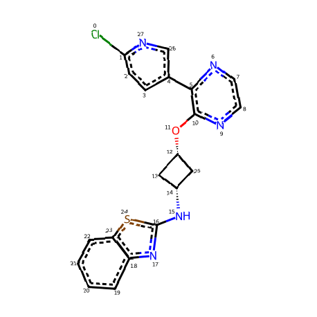 Clc1ccc(-c2nccnc2O[C@H]2C[C@@H](Nc3nc4ccccc4s3)C2)cn1